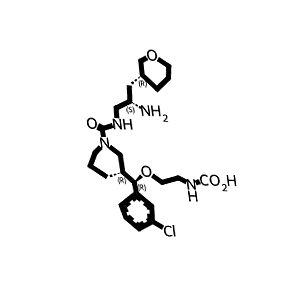 N[C@H](CNC(=O)N1CCC[C@@H]([C@@H](OCCNC(=O)O)c2cccc(Cl)c2)C1)C[C@H]1CCCOC1